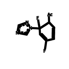 CC(=O)C1C=CC(F)=CC1(F)n1cncn1